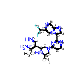 C/C(N)=C(/C=N)C1CN(c2ccnc(-c3cnc4cnc(C(F)F)cn34)n2)CC(C)N1